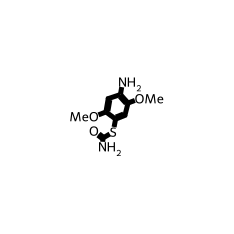 COc1cc(SC(N)=O)c(OC)cc1N